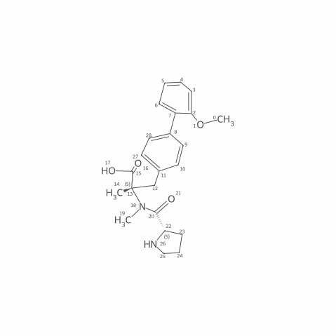 COc1ccccc1-c1ccc(C[C@@](C)(C(=O)O)N(C)C(=O)[C@@H]2CCCN2)cc1